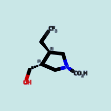 O=C(O)N1C[C@H](CC(F)(F)F)[C@@H](CO)C1